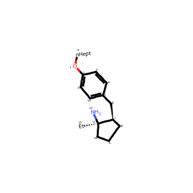 CCCCCCCOc1ccc(C[C@H]2CCC[C@]2(N)CC)cc1